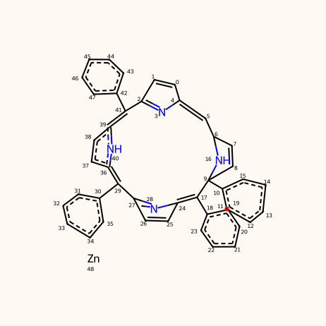 C1=CC2=NC1=CC1C=CC(c3ccccc3)(N1)C(c1ccccc1)=C1C=CC(=N1)C(c1ccccc1)=c1ccc([nH]1)=C2c1ccccc1.[Zn]